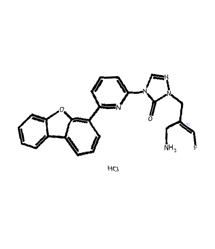 Cl.NC/C(=C\F)Cn1ncn(-c2cccc(-c3cccc4c3oc3ccccc34)n2)c1=O